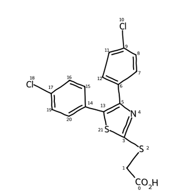 O=C(O)CSc1nc(-c2ccc(Cl)cc2)c(-c2ccc(Cl)cc2)s1